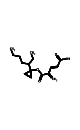 C=C(C=CC(=O)O)C(=O)OC1(C(CC)CCCC)CC1